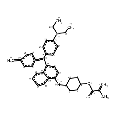 C=C(C)C(=O)OC1CCC(Nc2ccc(C(c3ccc(N(CC)CC)cc3)=c3ccc(=C)cc3)c3ccccc23)CC1